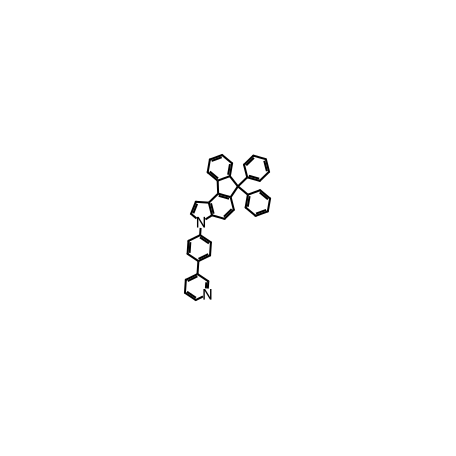 c1ccc(C2(c3ccccc3)c3ccccc3-c3c2ccc2c3ccn2-c2ccc(-c3cccnc3)cc2)cc1